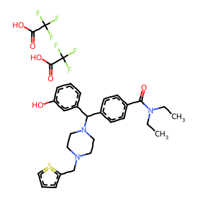 CCN(CC)C(=O)c1ccc(C(c2cccc(O)c2)N2CCN(Cc3cccs3)CC2)cc1.O=C(O)C(F)(F)F.O=C(O)C(F)(F)F